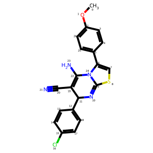 COc1ccc(C2=CSC3=NC(c4ccc(Cl)cc4)C(C#N)=C(N)N23)cc1